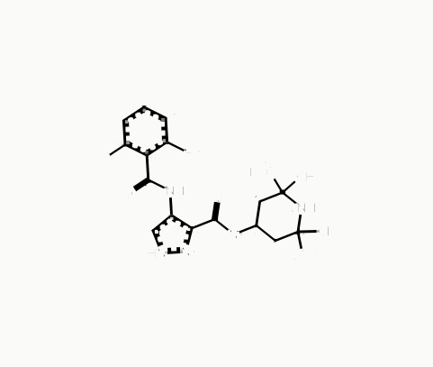 CC1(C)CC(NC(=O)c2n[nH]cc2NC(=O)c2c(F)cccc2F)CC(C)(C)N1